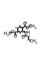 C/C=C/C(=O)Nc1cc(C(=O)OC)ccc1C(=O)OC